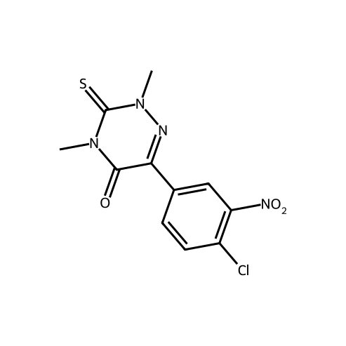 Cn1nc(-c2ccc(Cl)c([N+](=O)[O-])c2)c(=O)n(C)c1=S